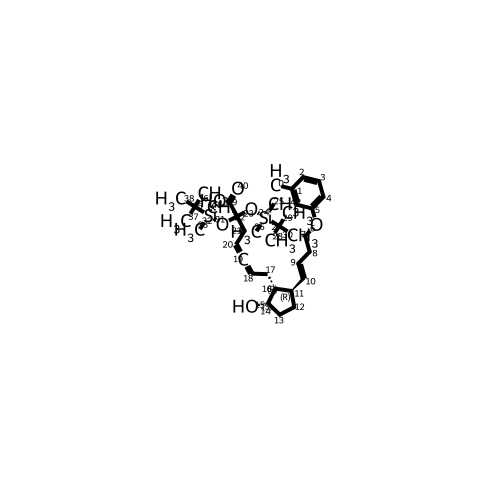 Cc1cccc(OCCC=C[C@H]2CC[C@H](O)[C@@H]2CC=C=CCC(O[Si](C)(C)C(C)(C)C)(O[Si](C)(C)C(C)(C)C)C(=O)O)c1